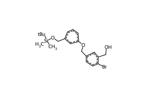 CC(C)(C)[Si](C)(C)OCc1cccc(OCc2ccc(Br)c(CO)c2)c1